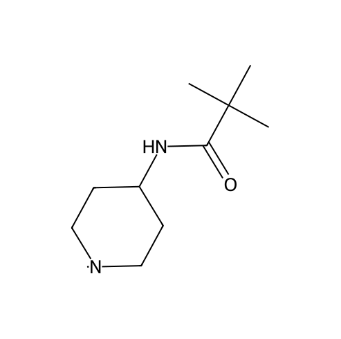 CC(C)(C)C(=O)NC1CC[N]CC1